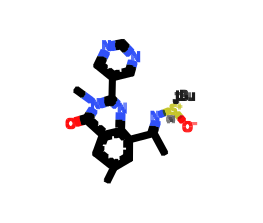 CC(=N[S@+]([O-])C(C)(C)C)c1cc(C)cc2c(=O)n(C)c(-c3cncnc3)nc12